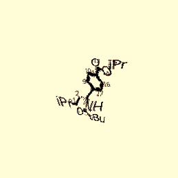 CC(C)CC[C@@H](N[S@@+]([O-])C(C)(C)C)c1ccc(C(=O)OC(C)C)cc1